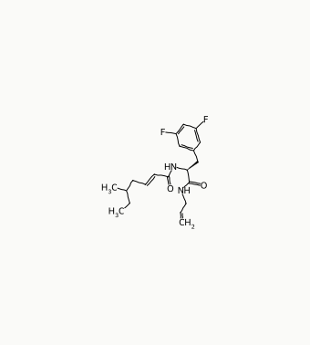 C=CCNC(=O)[C@H](Cc1cc(F)cc(F)c1)NC(=O)/C=C/CC(C)CC